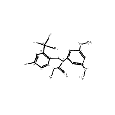 COc1cc(OC)cc(N(Cc2ccc(F)cc2C(F)(F)F)C(=O)CCl)c1